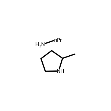 CC1CCCN1.CCCN